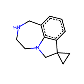 c1cc2c3c(c1)C1(CC1)CN3CCNC2